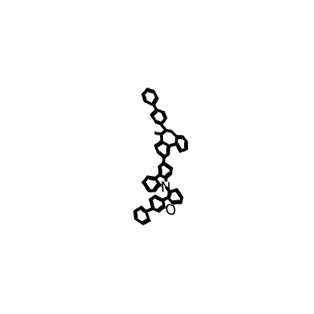 CC1c2ccc(-c3ccc4c(c3)c3ccccc3n4-c3cccc4oc5cc(-c6ccccc6)ccc5c34)cc2-c2ccccc2CC1c1ccc(-c2ccccc2)cc1